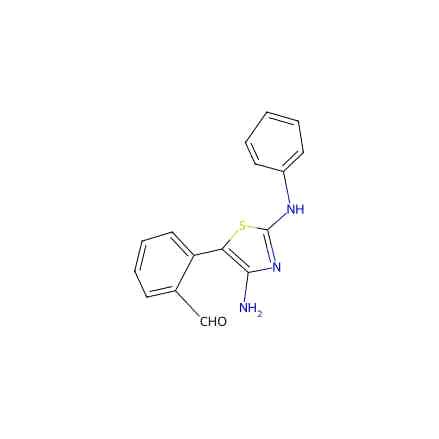 Nc1nc(Nc2ccccc2)sc1-c1ccccc1C=O